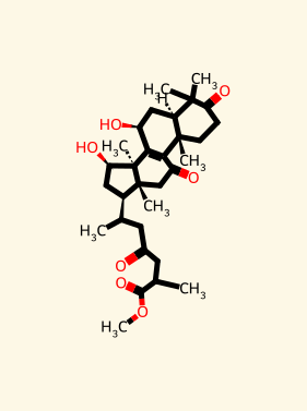 COC(=O)C(C)CC(=O)CC(C)[C@H]1C[C@@H](O)[C@@]2(C)C3=C(C(=O)C[C@]12C)[C@@]1(C)CCC(=O)C(C)(C)[C@@H]1C[C@@H]3O